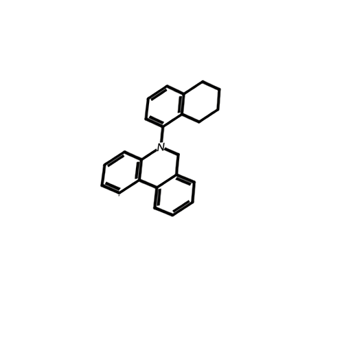 [c]1cccc2c1-c1ccccc1CN2c1cccc2c1CCCC2